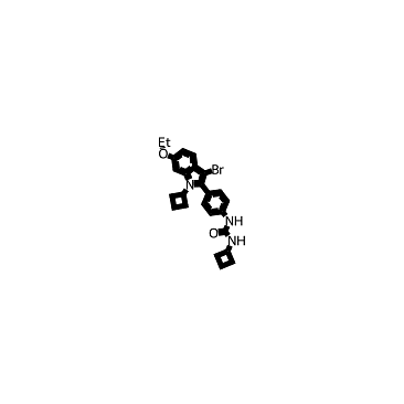 CCOc1ccc2c(Br)c(-c3ccc(NC(=O)NC4CCC4)cc3)n(C3CCC3)c2c1